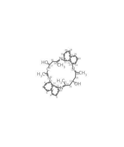 C/C1=N\c2cccc3cccc(c23)/N=C(\C)CC(O)C/C(C)=N/c2cccc3cccc(c23)/N=C(\C)CC(O)C1